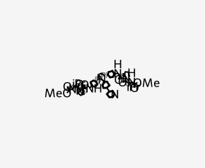 COC(=O)N[C@H](C(=O)N1CCC[C@H]1C(=O)Nc1ccc([C@H]2CC[C@H](c3ccc(NC(=O)[C@@H]4CCCN4C(=O)[C@@H](NC(=O)OC)C(C)C)cc3)N2c2ccc(-c3cccnc3)cc2)cc1)C(C)C